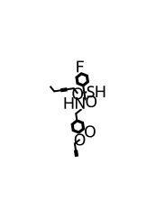 C#CCOc1ccc(CCNC(=O)C(S)(OCC#CCC)c2ccc(F)cc2)cc1OC